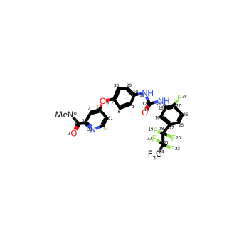 CNC(=O)c1cc(Oc2ccc(NC(=O)Nc3cc(C(F)(F)C(F)(F)C(F)(F)F)ccc3F)cc2)ccn1